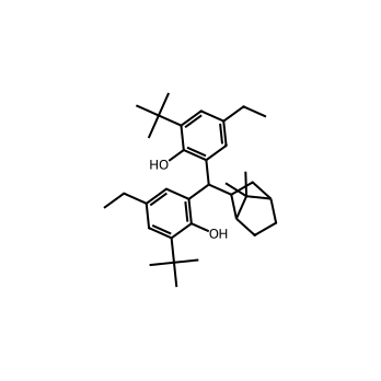 CCc1cc(C(c2cc(CC)cc(C(C)(C)C)c2O)C2CC3CCC2C3(C)C)c(O)c(C(C)(C)C)c1